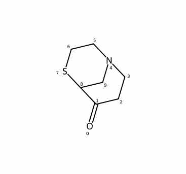 O=C1CCN2CCSC1C2